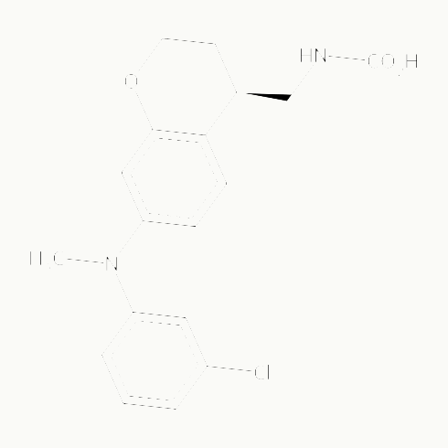 CN(c1cccc(Cl)c1)c1ccc2c(c1)OCC[C@H]2CNC(=O)O